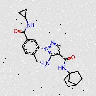 Cc1ccc(C(=O)NC2CC2)cc1-n1ncc(C(=O)NC23CCC(CC2)C3)c1N